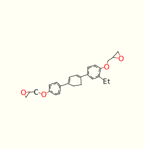 CCc1cc(C2=CC=C(c3ccc(OCC4CO4)cc3)CC2)ccc1OCC1CO1